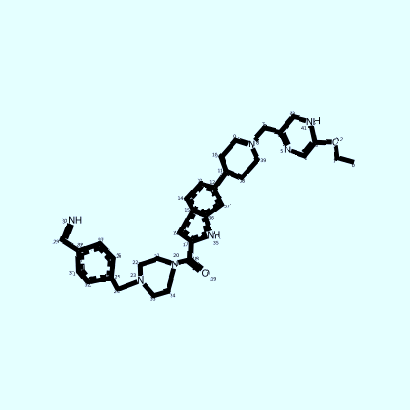 CCOC1=CN=C(CN2CCC(c3ccc4cc(C(=O)N5CCN(Cc6ccc(C=N)cc6)CC5)[nH]c4c3)CC2)CN1